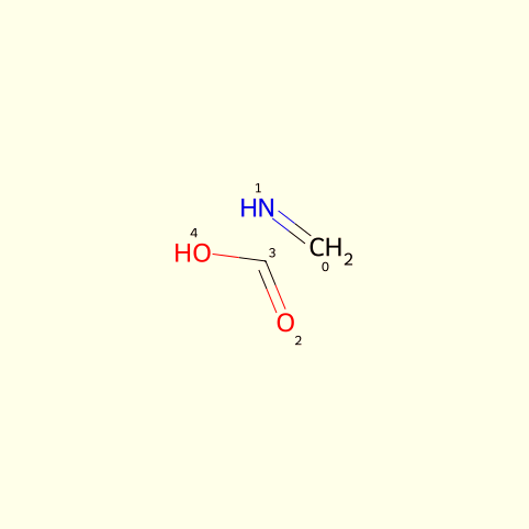 C=N.O=CO